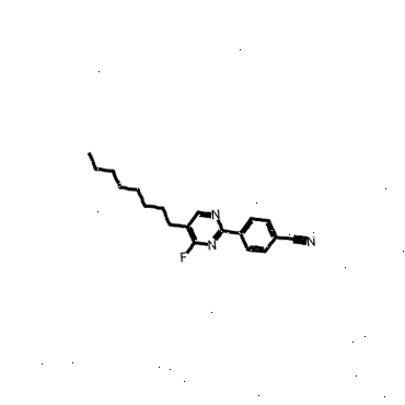 CCCCCCCCc1cnc(-c2ccc(C#N)cc2)nc1F